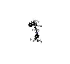 CCCCc1nc2c(N)nc3ccccc3c2n1CCNC(=O)/C=C/c1ccc(N(C)C)cc1